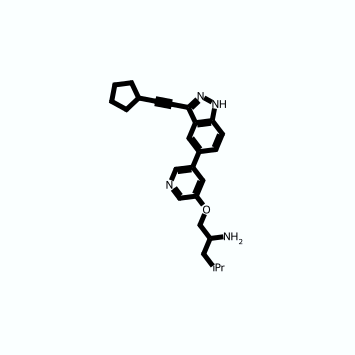 CC(C)CC(N)COc1cncc(-c2ccc3[nH]nc(C#CC4CCCC4)c3c2)c1